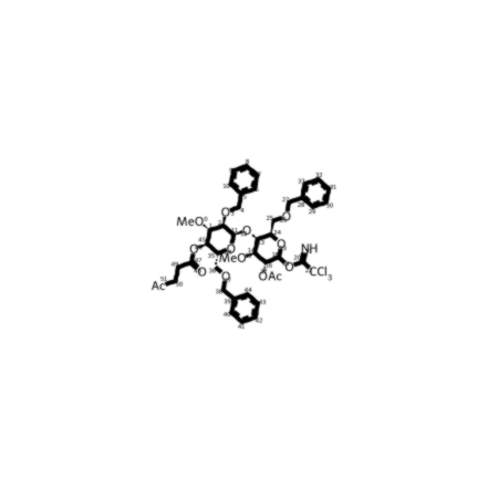 CO[C@@H]1[C@@H](OCc2ccccc2)[C@@H](O[C@H]2[C@H](OC)[C@@H](OC(C)=O)C(OC(=N)C(Cl)(Cl)Cl)O[C@@H]2COCc2ccccc2)O[C@H](COCc2ccccc2)[C@H]1OC(=O)CCC(C)=O